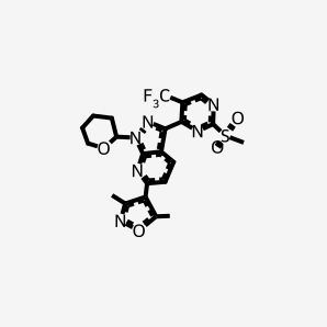 Cc1noc(C)c1-c1ccc2c(-c3nc(S(C)(=O)=O)ncc3C(F)(F)F)nn(C3CCCCO3)c2n1